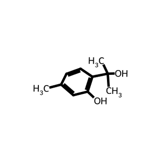 Cc1ccc(C(C)(C)O)c(O)c1